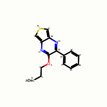 CCCCCCCCCCCCOc1nc2cscc2nc1-c1ccccc1